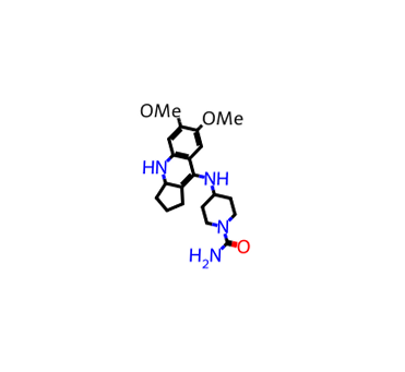 COc1cc2c(cc1OC)C(NC1CCN(C(N)=O)CC1)=C1CCCC1N2